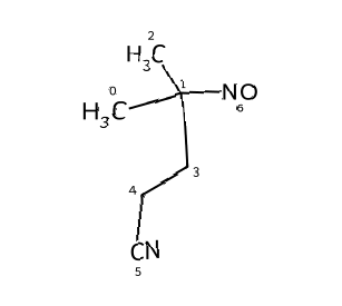 CC(C)(CCC#N)N=O